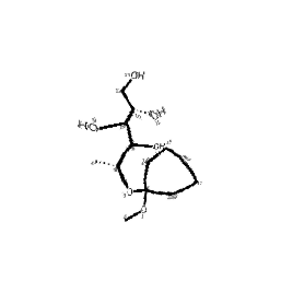 COC1(O[C@H](C)C(O)C(O)[C@@H](O)CO)CCCCC1